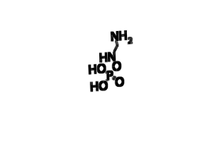 NCNOP(=O)(O)O